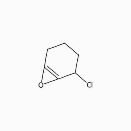 ClC1CCCC2=C1O2